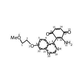 COCCOc1ccc2c(C3=C(N)C(=O)C=CC3=O)ncnc2c1